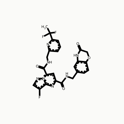 CC(F)(F)c1cccc(CNC(=O)c2cc(C(=O)NCc3ccc4c(c3)NC(=O)CO4)nc3c(F)cnn23)n1